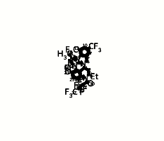 CC[C@@H]1C[C@H](N(Cc2cc(C(F)(F)F)cc(C(F)(F)F)c2)c2nnn(C)n2)c2cc(OC(F)(F)F)ccc2N1C(=O)C(F)(F)C(F)(F)C(F)(F)F